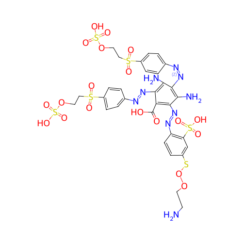 NCCOOSc1ccc(N=Nc2c(N)c(/N=N\c3ccc(S(=O)(=O)CCOS(=O)(=O)O)cc3)c(N)c(N=Nc3ccc(S(=O)(=O)CCOS(=O)(=O)O)cc3)c2C(=O)O)c(S(=O)(=O)O)c1